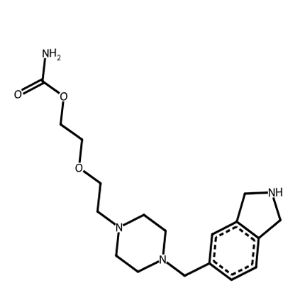 NC(=O)OCCOCCN1CCN(Cc2ccc3c(c2)CNC3)CC1